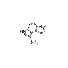 Nc1c[nH]c2ccc3[nH]ccc3c12